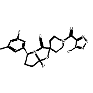 O=C(c1nsnc1Cl)N1CCC2(CC1)O[C@@H]1CC[C@@H](c3cc(F)cc(F)c3)N1C2=O